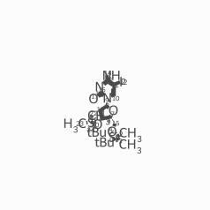 CC(C)(C)[Si](C)(C)OC[C@H]1O[C@@H](n2cc(I)c(N)nc2=O)C[C@H]1O[Si](C)(C)C(C)(C)C